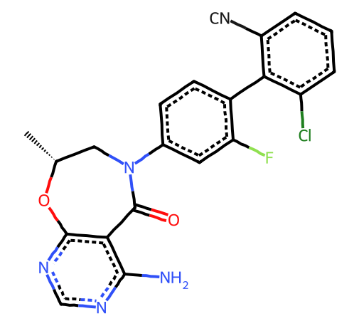 [C-]#[N+]c1cccc(Cl)c1-c1ccc(N2C[C@@H](C)Oc3ncnc(N)c3C2=O)cc1F